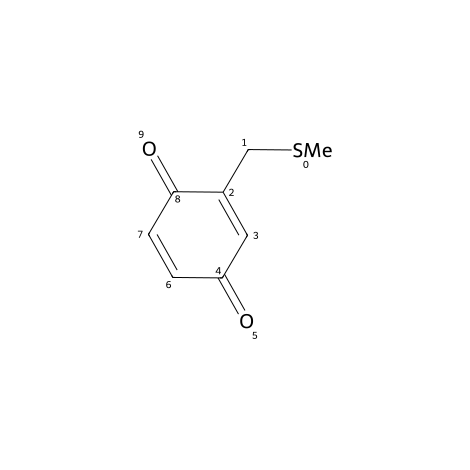 CSCC1=CC(=O)C=CC1=O